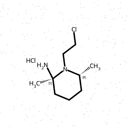 C[C@@H]1CCC[C@@](C)(N)N1CCCl.Cl